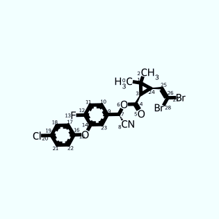 CC1(C)[C@H](C(=O)O[C@H](C#N)c2ccc(F)c(Oc3ccc(Cl)cc3)c2)[C@@H]1C=C(Br)Br